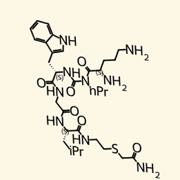 CCCN(C(=O)N[C@@H](Cc1c[nH]c2ccccc12)C(=O)NCC(=O)N[C@@H](CC(C)C)C(=O)NCCSCC(N)=O)C(=O)[C@@H](N)CCCN